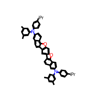 Cc1cc(C)cc(N(c2ccc(C(C)C)cc2)c2ccc3c(ccc4c5cc6c(cc5oc34)oc3c4ccc(N(c5ccc(C(C)C)cc5)c5cc(C)cc(C)c5)cc4ccc63)c2)c1